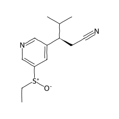 CC[S+]([O-])c1cncc([C@H](CC#N)C(C)C)c1